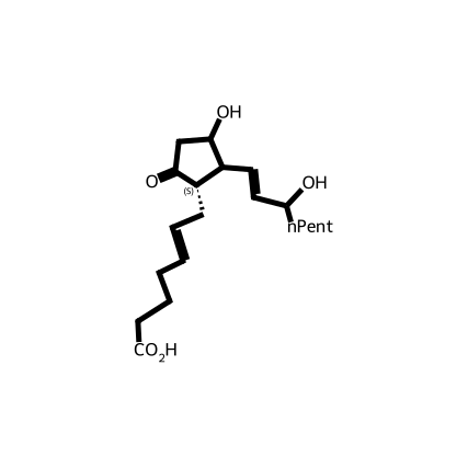 CCCCCC(O)C=CC1C(O)CC(=O)[C@H]1CC=CCCCC(=O)O